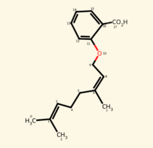 CC(C)=CCCC(C)=CCOc1ccccc1C(=O)O